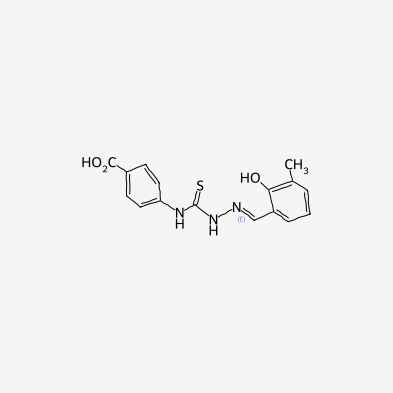 Cc1cccc(/C=N/NC(=S)Nc2ccc(C(=O)O)cc2)c1O